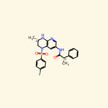 C[C@H](C(=O)Nc1cnc2c(c1)N(S(=O)(=O)c1ccc(F)cc1)C[C@H](C)N2)c1ccccc1